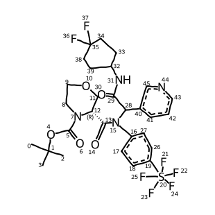 CC(C)(C)OC(=O)N1CCOC[C@@H]1C(=O)N(c1ccc(S(F)(F)(F)(F)F)cc1)C(C(=O)NC1CCC(F)(F)CC1)c1cccnc1